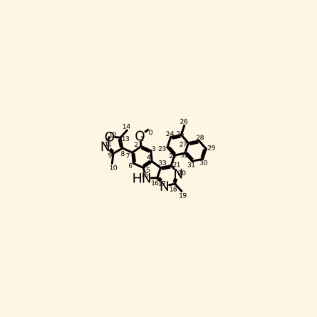 COc1cc2c(cc1-c1c(C)noc1C)[nH]c1nc(C)nc(-c3ccc(C)c4ccccc34)c12